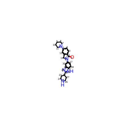 O=C1c2ccc(N3CCCCC3)cc2CN1c1ccc2[nH]c(C3CCNCC3)nc2c1